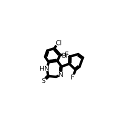 Fc1cccc(F)c1C1=NCC(=S)Nc2ccc(Cl)c(Br)c21